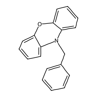 c1ccc(CN2c3ccccc3Oc3ccccc32)cc1